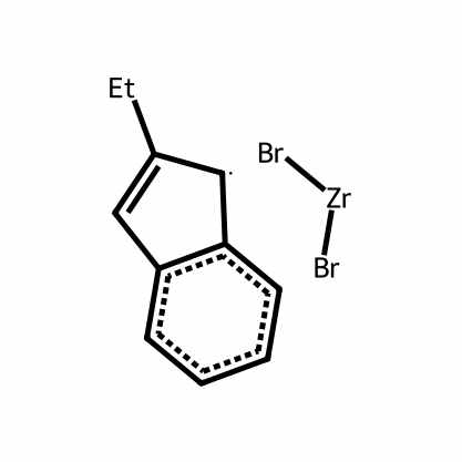 CCC1=Cc2ccccc2[CH]1.[Br][Zr][Br]